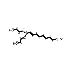 CCCCCCCCCCCCCCCCC=CN(OCCO)OCCO